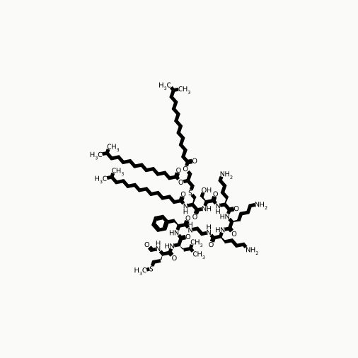 CSCC[C@H](NC=O)C(=O)N[C@@H](CC(C)C)C(=O)N[C@@H](Cc1ccccc1)C(=O)NCCNC(=O)[C@H](CCCCN)NC(=O)[C@H](CCCCN)NC(=O)[C@H](CCCCN)NC(=O)[C@H](CO)NC(=O)[C@H](CSCC(COC(=O)CCCCCCCCCCCC(C)C)OC(=O)CCCCCCCCCCCC(C)C)NC(=O)CCCCCCCCCCCC(C)C